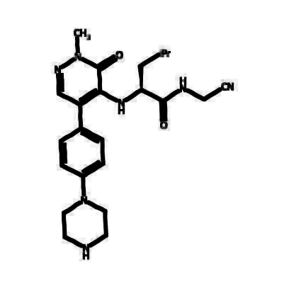 CC(C)C[C@H](Nc1c(-c2ccc(N3CCNCC3)cc2)cnn(C)c1=O)C(=O)NCC#N